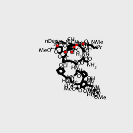 [2H]N(CCCCCCCCCC)CCN(C)[C@@]1(C)CC(O[C@H]2[C@H](Oc3c4cc5cc3Oc3ccc(cc3Cl)[C@@H](OC)[C@@H]3NC(=O)[C@H](NC(=O)C5NC(=O)[C@H](CC(N)=O)NC(=O)[C@H](NC(=O)[C@@H](CC(C)C)NC)[C@H](O)c5ccc(c(Cl)c5)O4)c4ccc(O)c(c4)-c4c(cc(OC)c(C([2H])([2H])NC([2H])([2H])P(=O)(O)OC)c4O)[C@@H](C(=O)OC)N(C)C3=O)O[C@H](COC)[C@@H](O)[C@@H]2O)O[C@@H](C)[C@H]1O